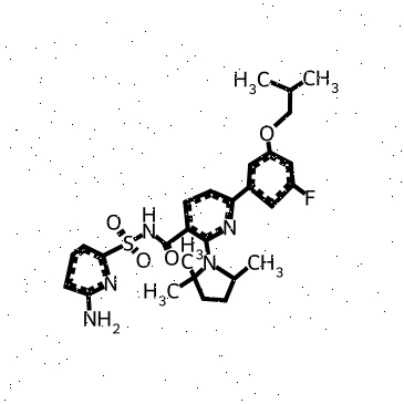 CC(C)COc1cc(F)cc(-c2ccc(C(=O)NS(=O)(=O)c3cccc(N)n3)c(N3C(C)CCC3(C)C)n2)c1